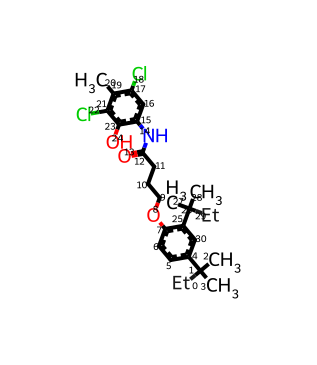 CCC(C)(C)c1ccc(OCCCC(=O)Nc2cc(Cl)c(C)c(Cl)c2O)c(C(C)(C)CC)c1